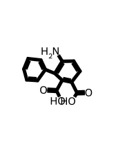 Nc1ccc(C(=O)O)c(C(=O)O)c1-c1ccccc1